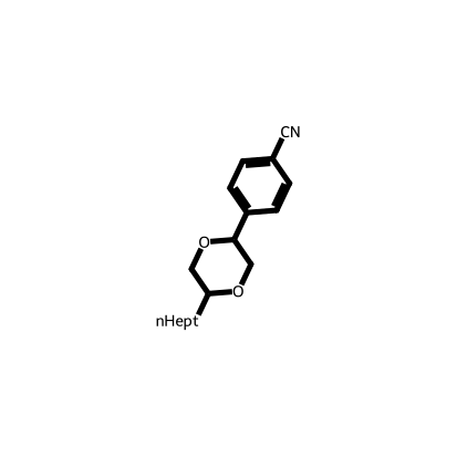 CCCCCCCC1COC(c2ccc(C#N)cc2)CO1